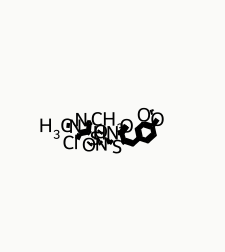 Cc1nn(C)c(Cl)c1S(=O)(=O)N=C1NC(=O)C(=Cc2ccc3c(c2)OCO3)S1